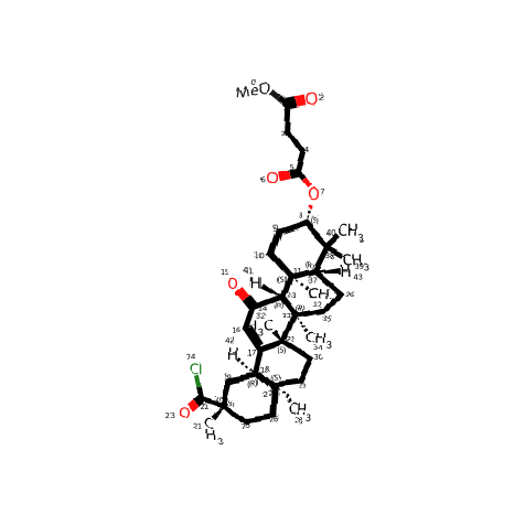 COC(=O)CCC(=O)O[C@H]1CC[C@]2(C)[C@H]3C(=O)C=C4[C@@H]5C[C@@](C)(C(=O)Cl)CC[C@]5(C)CC[C@@]4(C)[C@]3(C)CC[C@H]2C1(C)C